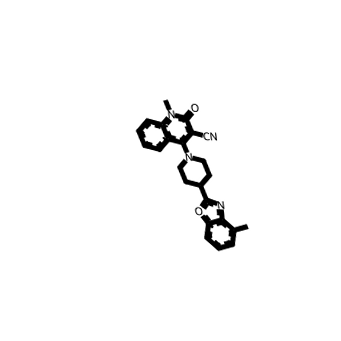 Cc1cccc2oc(C3CCN(c4c(C#N)c(=O)n(C)c5ccccc45)CC3)nc12